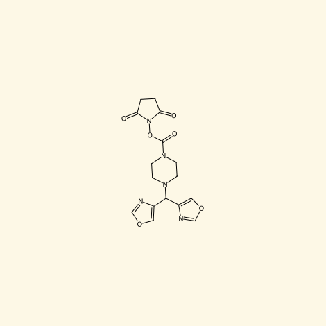 O=C(ON1C(=O)CCC1=O)N1CCN(C(c2cocn2)c2cocn2)CC1